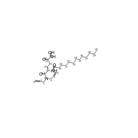 C#CCN(CC#C)C(=O)[C@@H](CCC(=O)NO)NC(=O)CCCCCCCCCCCC